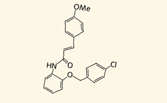 COc1ccc(/C=C/C(=O)Nc2ccccc2OCc2ccc(Cl)cc2)cc1